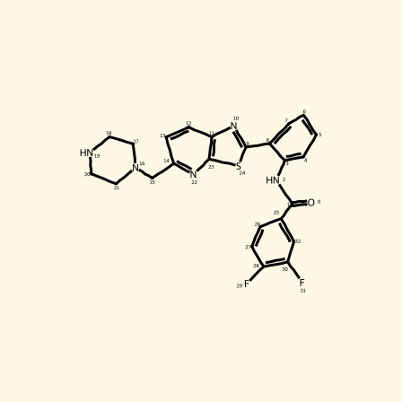 O=C(Nc1ccccc1-c1nc2ccc(CN3CCNCC3)nc2s1)c1ccc(F)c(F)c1